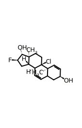 C[C@]12CC[C@@]3(Cl)[C@@H](C=CC4C[C@H](O)C=C[C@@]43C)[C@@H]1C[C@@H](F)[C@@H]2O